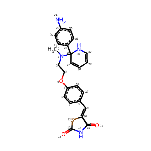 CN(CCOc1ccc(/C=C2\SC(=O)NC2=O)cc1)C1(c2ccc(N)cc2)C=CC=CN1